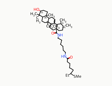 CCC(CCCCC(=O)NCCCCCCNC(=O)[C@]12CC[C@@H](C)[C@H](C)C1C1=CCC3[C@@]4(C)CC[C@H](O)C(C)(C)C4CC[C@@]3(C)[C@]1(C)CC2)SC